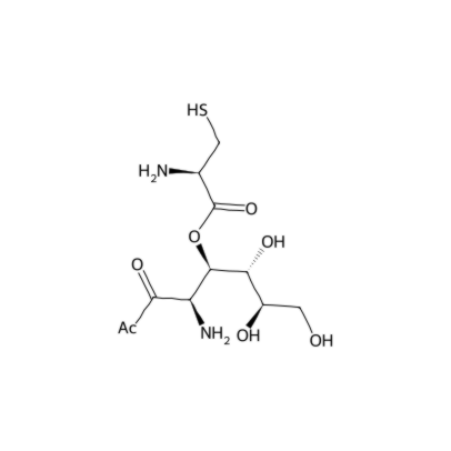 CC(=O)C(=O)[C@H](N)[C@@H](OC(=O)[C@@H](N)CS)[C@H](O)[C@H](O)CO